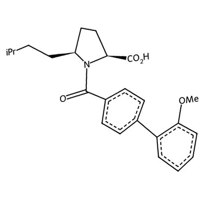 COc1ccccc1-c1ccc(C(=O)N2[C@@H](CCC(C)C)CC[C@H]2C(=O)O)cc1